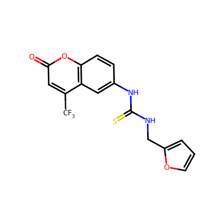 O=c1cc(C(F)(F)F)c2cc(NC(=S)NCc3ccco3)ccc2o1